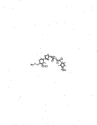 C=CCCc1ccc(-c2csc(NC(=O)CNC(=O)c3ccn(C(C)(C)C)c3)n2)cc1C=O